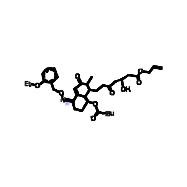 C=CCOC(=O)CC(O)CC(=O)CCC1C(C)C(=O)C=C2/C(=N\OCc3ccccc3OCC)CCC(OC(=O)C(C)CC)C21